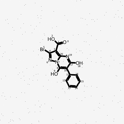 O=C(O)c1c(Br)nn2c(O)c(-c3ccccc3)c(O)nc12